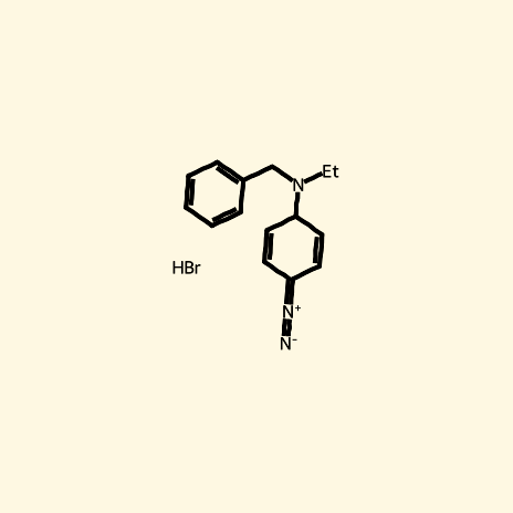 Br.CCN(Cc1ccccc1)C1C=CC(=[N+]=[N-])C=C1